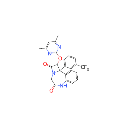 Cc1cc(C)nc(OC2C(=O)N3CC(=O)Nc4ccccc4C23c2cccc(C(F)(F)F)c2)n1